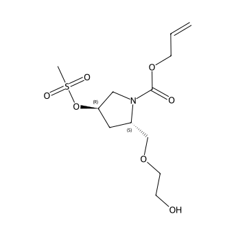 C=CCOC(=O)N1C[C@H](OS(C)(=O)=O)C[C@H]1COCCO